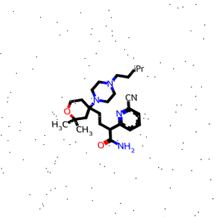 CC(C)CCN1CCN(C2(CCC(C(N)=O)c3cccc(C#N)n3)CCOC(C)(C)C2)CC1